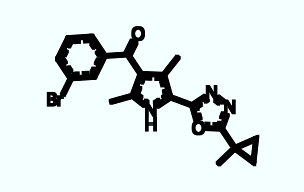 Cc1[nH]c(-c2nnc(C3(C)CC3)o2)c(C)c1C(=O)c1cccc(Br)c1